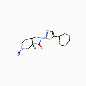 N#CN1CCC2CN(c3ncc(C4CCCCC4)s3)C(=O)[C@@H]2C1